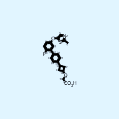 Cc1ncc(Oc2ccc(F)c(-c3ccc(C4CC(OCC(=O)O)C4)cc3)c2)s1